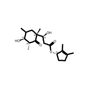 CC1=C(C)[C@@H](OC(=O)C[C@H](O)[C@@]2(C)CC(C)[C@H](O)[C@@H](C)C2=O)CC1